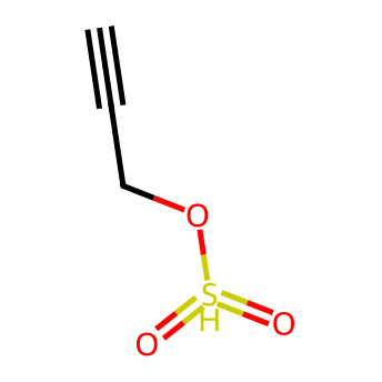 C#CCO[SH](=O)=O